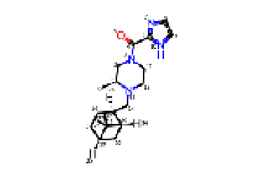 C[C@H]1CN(C(=O)c2ncc[nH]2)CCN1C[C@@H]1CC[C@H]2C[C@@H]1C2(C)C